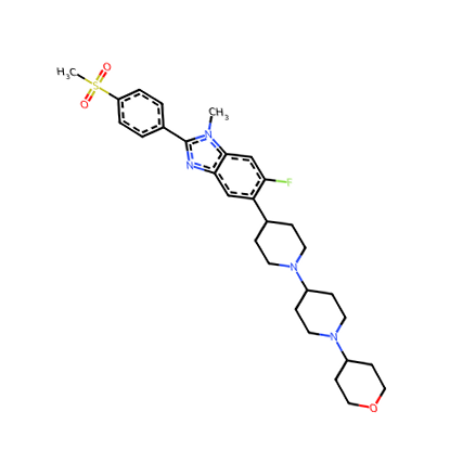 Cn1c(-c2ccc(S(C)(=O)=O)cc2)nc2cc(C3CCN(C4CCN(C5CCOCC5)CC4)CC3)c(F)cc21